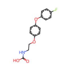 O=C(O)NCCOc1ccc(Oc2ccc(F)cc2)cc1